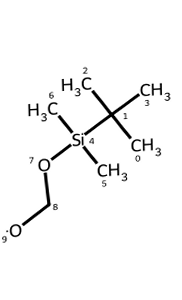 CC(C)(C)[Si](C)(C)OC[O]